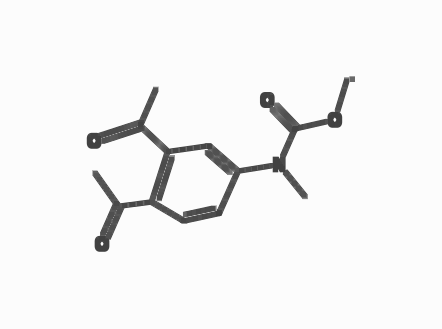 [CH2]OC(=O)N(C)c1ccc(C(C)=O)c(C(C)=O)c1